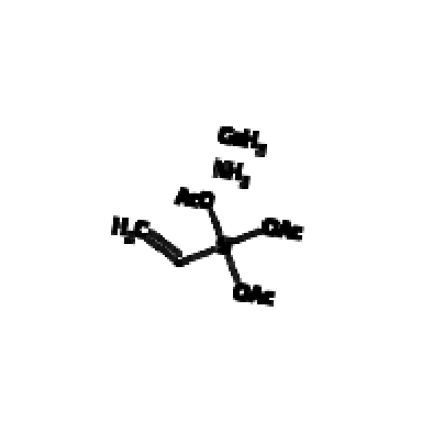 C=C[Si](OC(C)=O)(OC(C)=O)OC(C)=O.N.[GaH3]